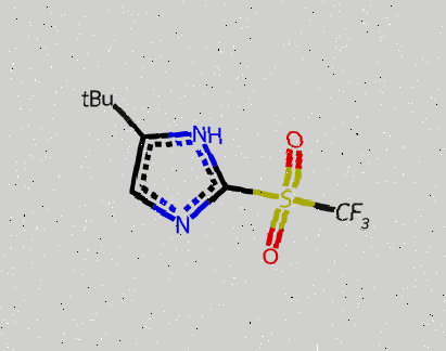 CC(C)(C)c1cnc(S(=O)(=O)C(F)(F)F)[nH]1